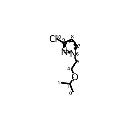 CC(C)OCCn1ccc(Cl)n1